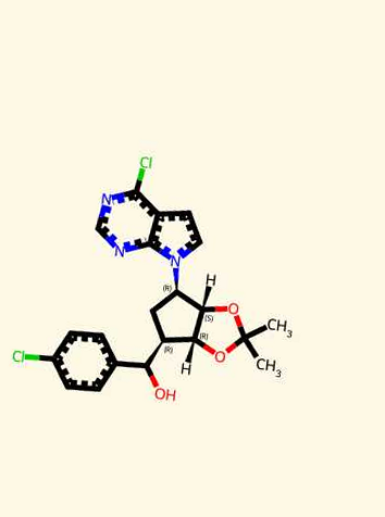 CC1(C)O[C@@H]2[C@H](O1)[C@@H](C(O)c1ccc(Cl)cc1)C[C@H]2n1ccc2c(Cl)ncnc21